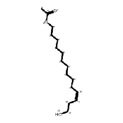 CC(=O)OCCCCCCCCCC/C=C\CCO